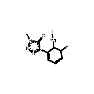 CC1C=CC=C(n2nnn(C)c2=O)[C]1[Mg][I]